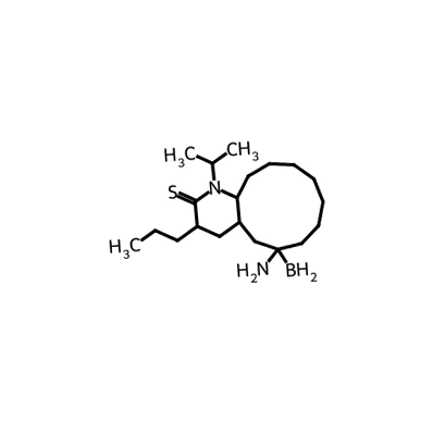 BC1(N)CCCCCCCC2C(CC(CCC)C(=S)N2C(C)C)C1